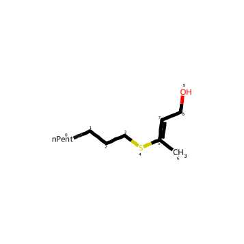 CCCCCCCCSC(C)=CCO